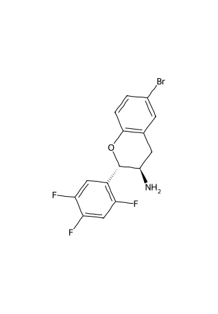 N[C@@H]1Cc2cc(Br)ccc2O[C@H]1c1cc(F)c(F)cc1F